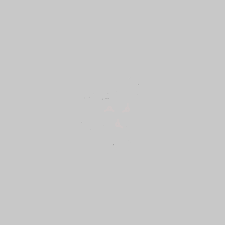 CCCCCCCCCCc1ccccc1OP(Oc1ccccc1CCCCCCCCCC)Oc1ccccc1CCCCCCCCCC